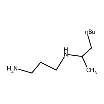 CCCCCC(C)NCCCN